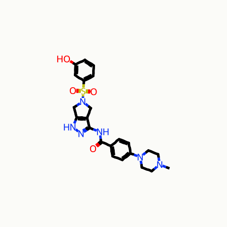 CN1CCN(c2ccc(C(=O)Nc3n[nH]c4c3CN(S(=O)(=O)c3cccc(O)c3)C4)cc2)CC1